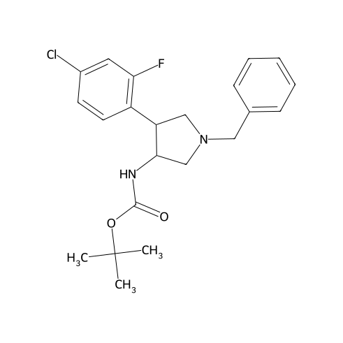 CC(C)(C)OC(=O)NC1CN(Cc2ccccc2)CC1c1ccc(Cl)cc1F